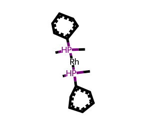 C[PH](C)([Rh][PH](C)(C)c1ccccc1)c1ccccc1